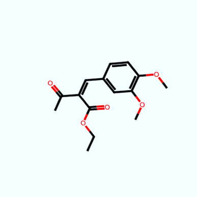 CCOC(=O)/C(=C\c1ccc(OC)c(OC)c1)C(C)=O